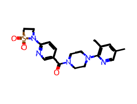 Cc1cnc(N2CCN(C(=O)c3ccc(N4CCS4(=O)=O)nc3)CC2)c(C)c1